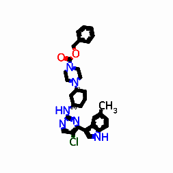 Cc1ccc2[nH]cc(-c3nc(N[C@@H]4CCC[C@H](N5CCN(C(=O)OCc6ccccc6)CC5)C4)ncc3Cl)c2c1